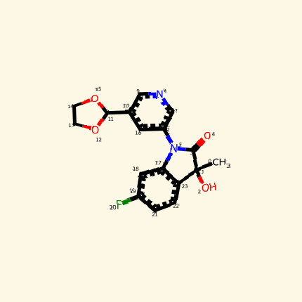 CC1(O)C(=O)N(c2cncc(C3OCCO3)c2)c2cc(F)ccc21